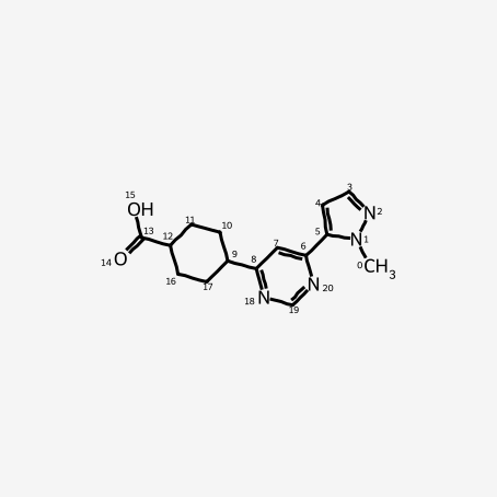 Cn1nccc1-c1cc(C2CCC(C(=O)O)CC2)ncn1